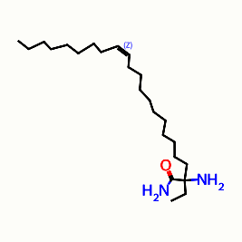 CCCCCCCC/C=C\CCCCCCCCCCC(N)(CC)C(N)=O